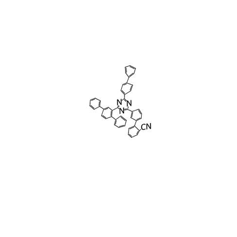 N#Cc1ccccc1-c1cccc(-c2nc(-c3ccc(-c4ccccc4)cc3)nc(-c3cc(-c4ccccc4)ccc3-c3ccccc3)n2)c1